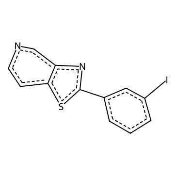 Ic1cccc(-c2nc3cnccc3s2)c1